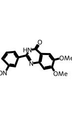 COc1cc2nc(-c3cccc(N=O)c3)[nH]c(=O)c2cc1OC